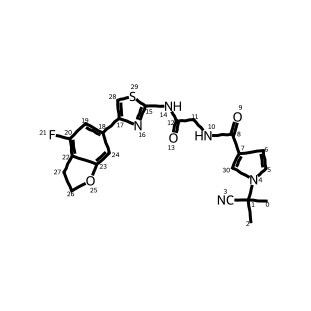 CC(C)(C#N)n1ccc(C(=O)NCC(=O)Nc2nc(-c3cc(F)c4c(c3)OCC4)cs2)c1